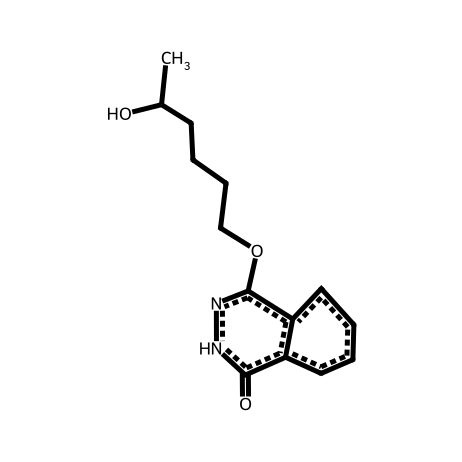 CC(O)CCCCOc1n[nH]c(=O)c2ccccc12